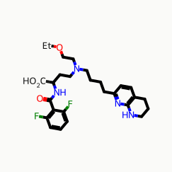 CCOCCN(CCCCc1ccc2c(n1)NCCC2)CCC(NC(=O)c1c(F)cccc1F)C(=O)O